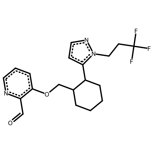 O=Cc1ncccc1OCC1CCCCC1c1ccnn1CCC(F)(F)F